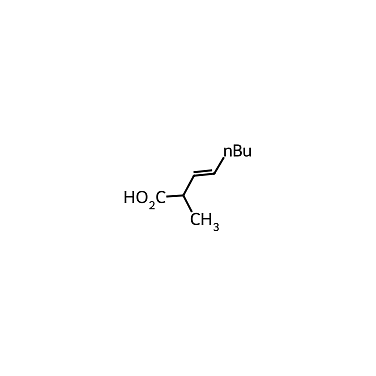 CCCCC=CC(C)C(=O)O